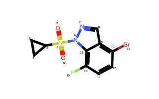 O=S(=O)(C1CC1)n1ncc2c(Br)ccc(F)c21